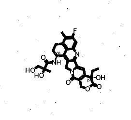 CC[C@@]1(O)C(=O)OCc2c1cc1n(c2=O)Cc2c-1nc1cc(F)c(C)c3c1c2[C@@H](NC(=O)C(C)(O)CO)CC3